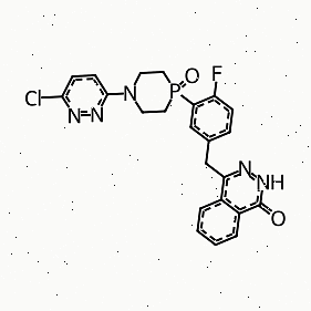 O=c1[nH]nc(Cc2ccc(F)c(P3(=O)CCN(c4ccc(Cl)nn4)CC3)c2)c2ccccc12